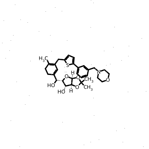 CC1=C(Cc2ccc(-c3cccc(CN4CCOCC4)c3)s2)C=C(C(O)[C@@H]2O[C@H]3OC(C)(C)O[C@H]3[C@@H]2O)CC1